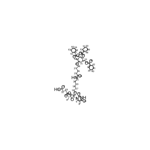 CC[C@H]1O[C@@H](n2cc(C)c(=O)[nH]c2=O)[C@@H](OCCCCCCNC(=O)CCCCO[C@@H]2C[C@H](COC(=O)c3ccccc3)[C@H](OC(=O)c3ccccc3)[C@H](OC(=O)c3ccccc3)[C@H]2C)C1OC(=O)CCC(=O)O